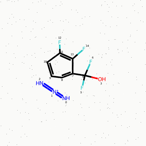 N=[N+]=N.OC(F)(F)c1cccc(F)c1F